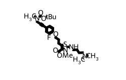 COC(=O)c1nc(NCCCCN(C)C)sc1CCCOc1ccc(C#CCN(C)C(=O)OC(C)(C)C)cc1F